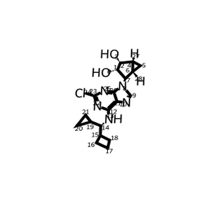 O[C@@H]1[C@H](O)[C@@H]2C[C@@H]2[C@H]1n1cnc2c(N[C@H](C3CCC3)C3CC3)nc(Cl)nc21